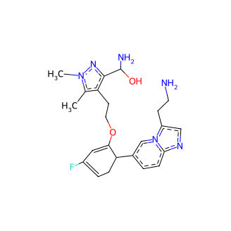 Cc1c(CCOC2=CC(F)=CCC2c2ccc3ncc(CCN)n3c2)c(C(N)O)nn1C